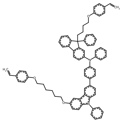 C=Cc1ccc(OCCCCCCOc2ccc3c(c2)c2cc(-c4ccc(N(c5ccccc5)c5ccc6c(c5)C(CCCCOc5ccc(C=C)cc5)(c5ccccc5)c5ccccc5-6)cc4)ccc2n3-c2ccccc2)cc1